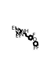 CCN1Cc2[nH]c(/C=C/c3ccc(OC4CCC(F)(F)CC4)c(F)c3)nc2N(CC)C1